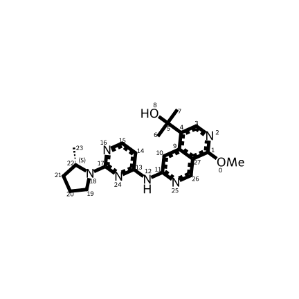 COc1ncc(C(C)(C)O)c2cc(Nc3ccnc(N4CCC[C@@H]4C)n3)ncc12